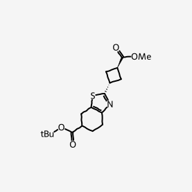 COC(=O)[C@H]1C[C@H](c2nc3c(s2)CC(C(=O)OC(C)(C)C)CC3)C1